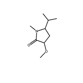 COC1CC(C(C)C)N(C)C1=O